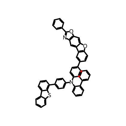 c1ccc(-c2nc3cc4c(cc3o2)oc2ccc(-c3ccc(N(c5ccc(-c6cccc7c6sc6ccccc67)cc5)c5ccccc5-c5ccccc5)cc3)cc24)cc1